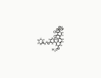 COc1ccc2c(Oc3ccc(OCCN4CCCCC4)cc3)c(-c3ccc(S(C)(=O)=O)c(Cl)c3Cl)ccc2c1